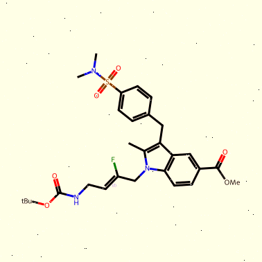 COC(=O)c1ccc2c(c1)c(Cc1ccc(S(=O)(=O)N(C)C)cc1)c(C)n2C/C(F)=C/CNC(=O)OC(C)(C)C